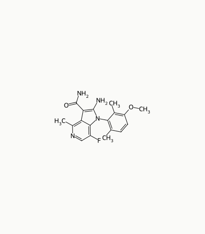 COc1ccc(C)c(-n2c(N)c(C(N)=O)c3c(C)ncc(F)c32)c1C